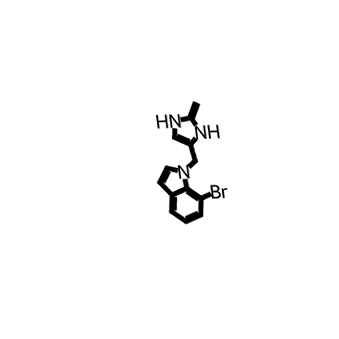 C=C1NC=C(Cn2ccc3cccc(Br)c32)N1